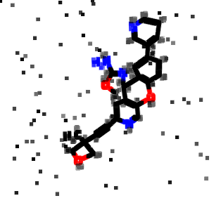 CC1(C#Cc2cc3c(cn2)Oc2ccc(-c4cccnc4)cc2[C@@]32COC(N)=N2)COC1